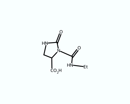 CCNC(=O)N1C(=O)NCC1C(=O)O